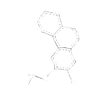 OBOc1cc2c(ccc3ccccc32)cc1Br